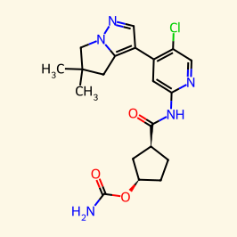 CC1(C)Cc2c(-c3cc(NC(=O)[C@H]4CC[C@@H](OC(N)=O)C4)ncc3Cl)cnn2C1